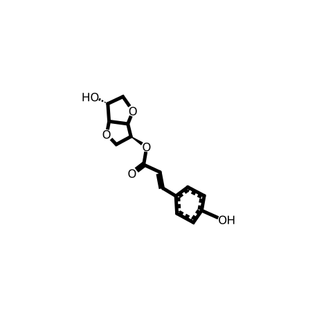 O=C(C=Cc1ccc(O)cc1)O[C@H]1COC2C1OC[C@H]2O